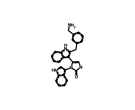 NCc1cccc(Cc2[nH]c3ccccc3c2C2=C[N]C(=O)N2c2c[nH]c3ccccc23)c1